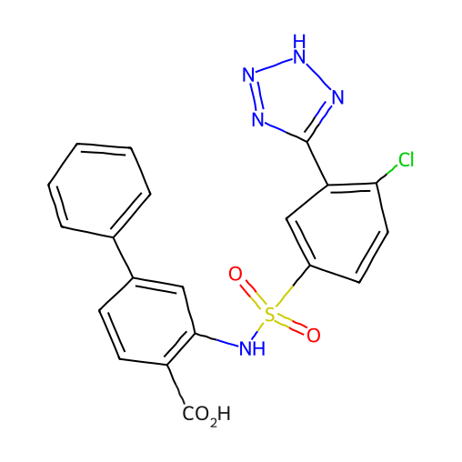 O=C(O)c1ccc(-c2ccccc2)cc1NS(=O)(=O)c1ccc(Cl)c(-c2nn[nH]n2)c1